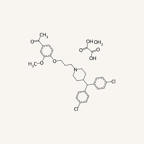 COc1cc(C(C)=O)ccc1OCCCN1CCC(C(c2ccc(Cl)cc2)c2ccc(Cl)cc2)CC1.O.O=C(O)C(=O)O